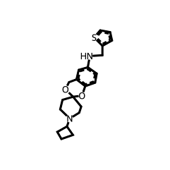 c1csc(CNc2ccc3c(c2)COC2(CCN(C4CCC4)CC2)O3)c1